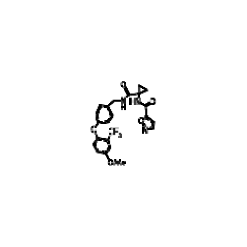 COc1ccc(Oc2ccc(CNC(=O)C3(NC(=O)c4ccno4)CC3)cc2)c(C(F)(F)F)c1